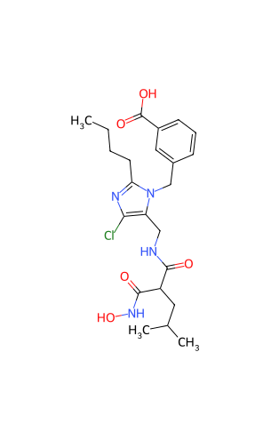 CCCCc1nc(Cl)c(CNC(=O)C(CC(C)C)C(=O)NO)n1Cc1cccc(C(=O)O)c1